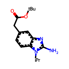 CC(C)n1c(N)nc2cc(CC(=O)OC(C)(C)C)ccc21